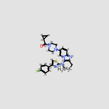 CCc1nc2ccc(N3CCN(C(=O)C4CC4)CC3)cn2c1N(C)c1nc(-c2ccc(F)cc2)cs1